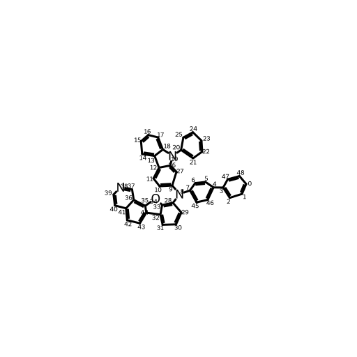 c1ccc(-c2ccc(N(c3ccc4c5ccccc5n(-c5ccccc5)c4c3)c3cccc4c3oc3c5cnccc5ccc43)cc2)cc1